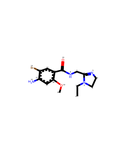 CCN1CCN=C1CNC(=O)c1cc(Br)c(N)cc1OC